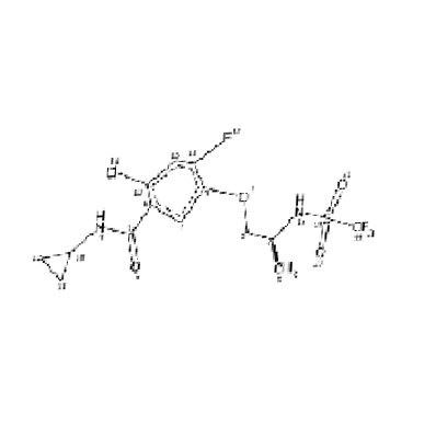 C[C@@H](COc1cc(C(=O)NC2CC2)c(Cl)cc1F)NS(=O)(=O)C(F)(F)F